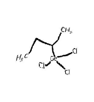 CC[CH](C)[Ge]([Cl])([Cl])[Cl]